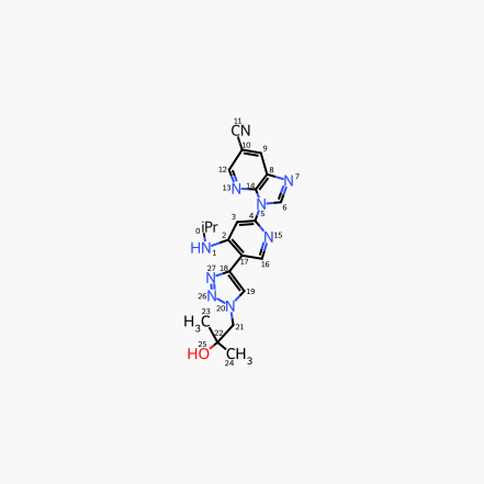 CC(C)Nc1cc(-n2cnc3cc(C#N)cnc32)ncc1-c1cn(CC(C)(C)O)nn1